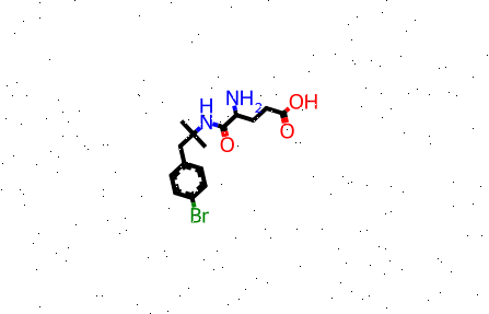 CC(C)(Cc1ccc(Br)cc1)NC(=O)C(N)CCC(=O)O